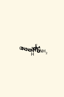 Nc1cccc(-n2c(C3CC3)c(F)c3cnc(Nc4ccc(N5CCC(N6CCOCC6)CC5)cc4)nc32)n1